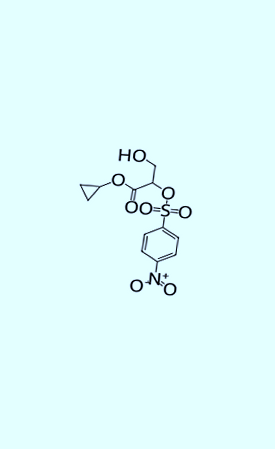 O=C(OC1CC1)C(CO)OS(=O)(=O)c1ccc([N+](=O)[O-])cc1